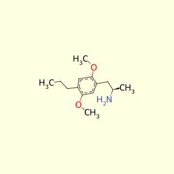 CCCc1cc(OC)c(C[C@@H](C)N)cc1OC